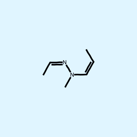 C/C=C\N(C)/N=C\C